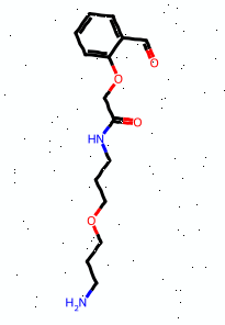 NCCCOCCCNC(=O)COc1ccccc1C=O